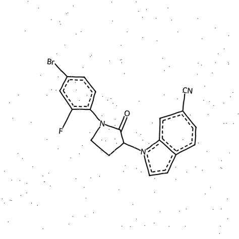 N#Cc1ccc2ccn(C3CCN(c4ccc(Br)cc4F)C3=O)c2c1